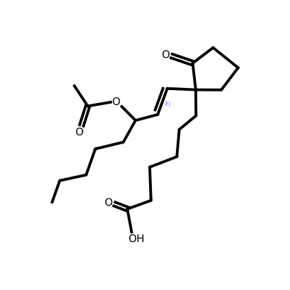 CCCCCC(/C=C/C1(CCCCCC(=O)O)CCCC1=O)OC(C)=O